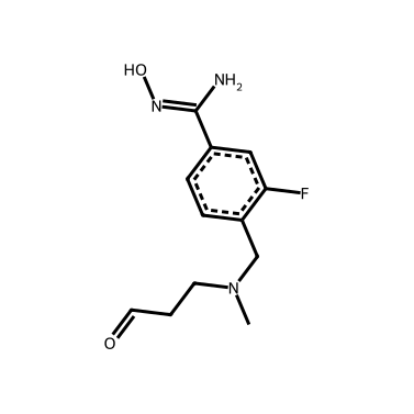 CN(CCC=O)Cc1ccc(/C(N)=N/O)cc1F